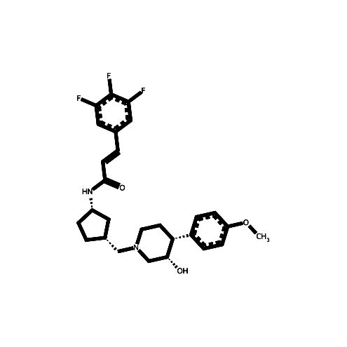 COc1ccc([C@H]2CCN(C[C@@H]3CC[C@H](NC(=O)C=Cc4cc(F)c(F)c(F)c4)C3)C[C@H]2O)cc1